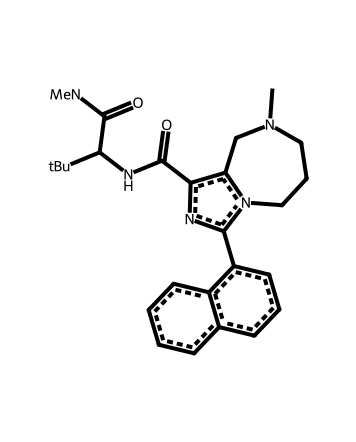 CNC(=O)C(NC(=O)c1nc(-c2cccc3ccccc23)n2c1CN(C)CCC2)C(C)(C)C